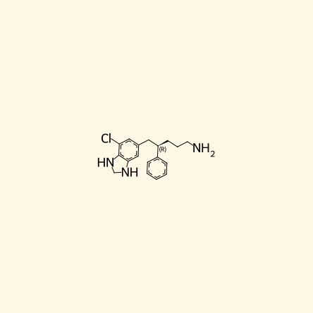 NCCC[C@H](Cc1cc(Cl)c2c(c1)NCN2)c1ccccc1